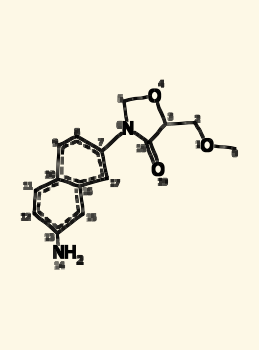 COCC1OCN(c2ccc3ccc(N)cc3c2)C1=O